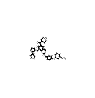 CN1CCCC(Oc2ccc(Nc3ncc4cc(C(=O)C5CCOCC5)c(=O)n(Cc5ccsc5C5=CCCC5)c4n3)cc2)C1